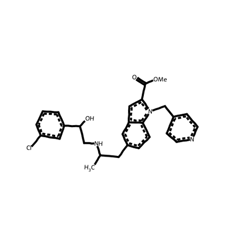 COC(=O)c1cc2cc(CC(C)NCC(O)c3cccc(Cl)c3)ccc2n1Cc1ccncc1